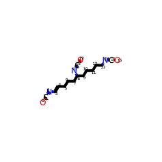 O=C=NC=CCCCC(CCCCCN=C=O)N=C=O